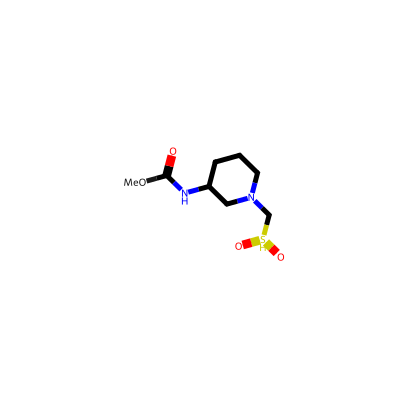 COC(=O)NC1CCCN(C[SH](=O)=O)C1